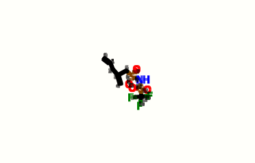 C=CCC(=C)CS(=O)(=O)NS(=O)(=O)C(F)(F)F